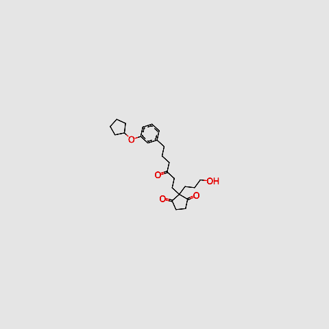 O=C(CCCc1cccc(OC2CCCC2)c1)CCC1(CCCO)C(=O)CCC1=O